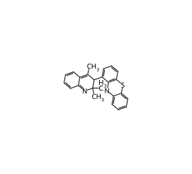 CC1=c2ccccc2=NC(C)(C)C1c1cccc2c1[N]c1ccccc1S2